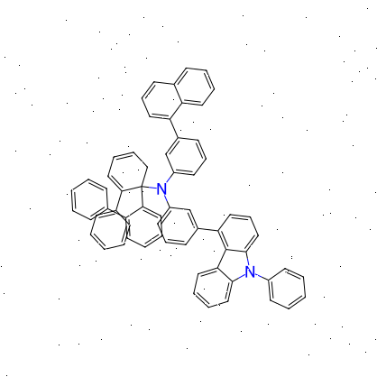 C1=CCC(c2ccccc2-c2ccccc2)(N(c2cccc(-c3cccc4ccccc34)c2)c2cccc(-c3cccc4c3c3ccccc3n4-c3ccccc3)c2)C(c2ccccc2)=C1